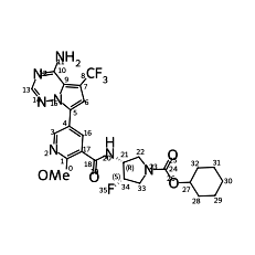 COc1ncc(-c2cc(C(F)(F)F)c3c(N)ncnn23)cc1C(=O)N[C@@H]1CN(C(=O)OC2CCCCC2)C[C@@H]1F